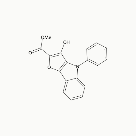 COC(=O)c1oc2c3ccccc3n(-c3ccccc3)c2c1O